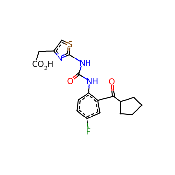 O=C(O)Cc1csc(NC(=O)Nc2ccc(F)cc2C(=O)C2CCCC2)n1